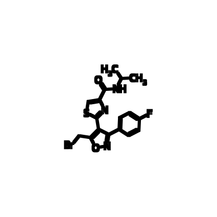 CC(C)NC(=O)c1csc(-c2c(-c3ccc(F)cc3)noc2CBr)n1